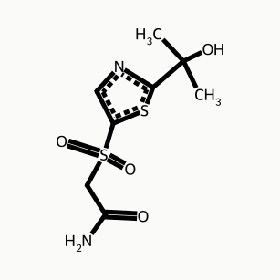 CC(C)(O)c1ncc(S(=O)(=O)CC(N)=O)s1